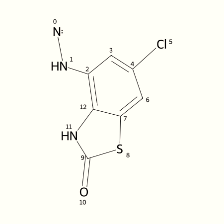 [N]Nc1cc(Cl)cc2sc(=O)[nH]c12